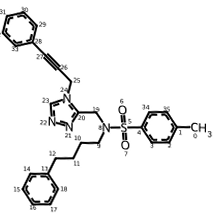 Cc1ccc(S(=O)(=O)N(CCCCc2ccccc2)Cc2nncn2CC#Cc2ccccc2)cc1